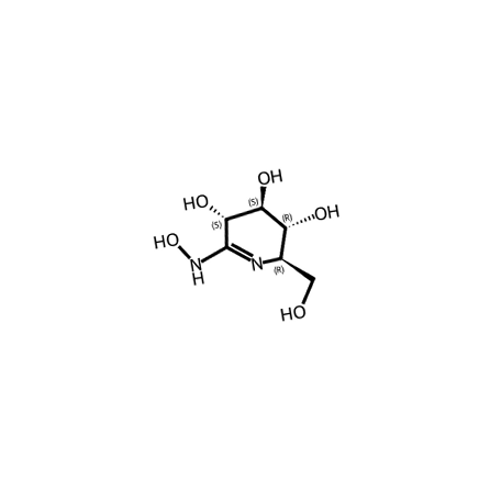 OC[C@H]1N=C(NO)[C@H](O)[C@@H](O)[C@@H]1O